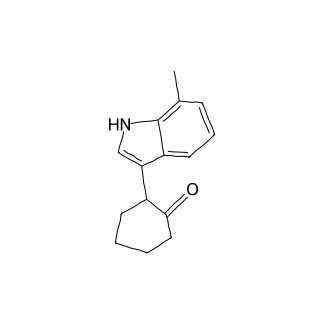 Cc1cccc2c(C3CCCCC3=O)c[nH]c12